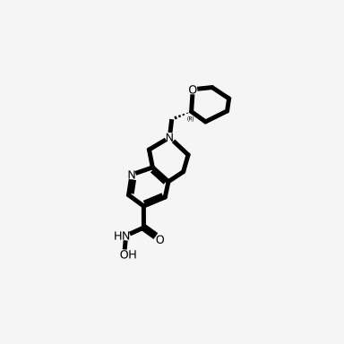 O=C(NO)c1cnc2c(c1)CCN(C[C@H]1CCCCO1)C2